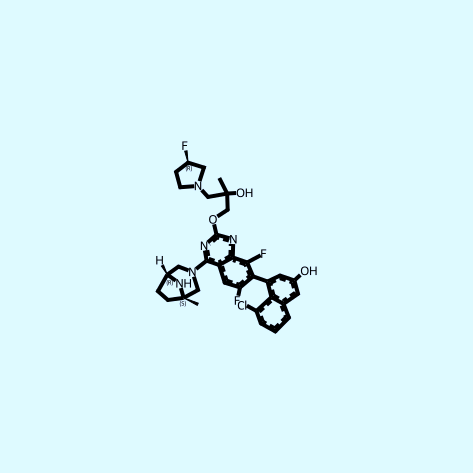 CC(O)(COc1nc(N2C[C@H]3CC[C@@](C)(C2)N3)c2cc(F)c(-c3cc(O)cc4cccc(Cl)c34)c(F)c2n1)CN1CC[C@@H](F)C1